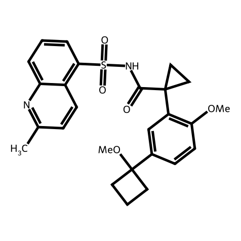 COc1ccc(C2(OC)CCC2)cc1C1(C(=O)NS(=O)(=O)c2cccc3nc(C)ccc23)CC1